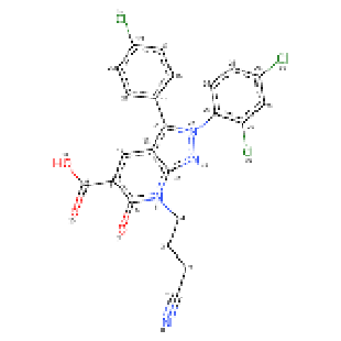 N#CCCCn1c(=O)c(C(=O)O)cc2c(-c3ccc(Cl)cc3)n(-c3ccc(Cl)cc3Cl)nc21